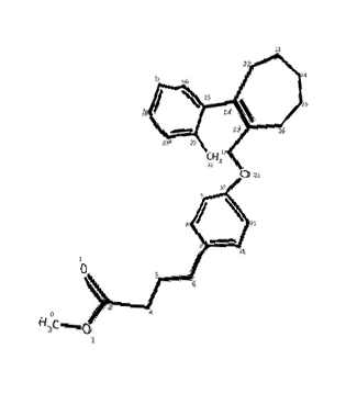 COC(=O)CCCc1ccc(OCC2=C(c3ccccc3C)CCCCC2)cc1